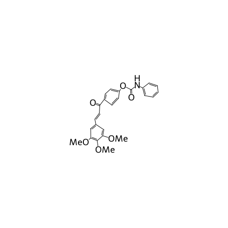 COc1cc(/C=C/C(=O)c2ccc(OC(=O)Nc3ccccc3)cc2)cc(OC)c1OC